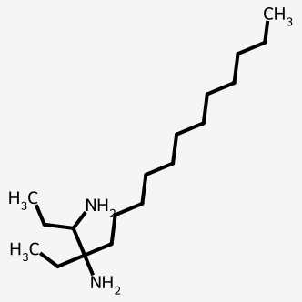 CCCCCCCCCCCCC(N)(CC)C(N)CC